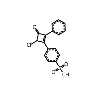 CS(=O)(=O)c1ccc(C2=C(c3ccccc3)C(=O)C2Cl)cc1